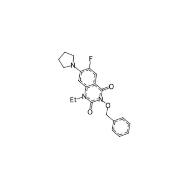 CCn1c(=O)n(OCc2ccccc2)c(=O)c2cc(F)c(N3CCCC3)cc21